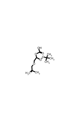 C=C(C)COCC(OOC(C)(C)C)OC(=O)O